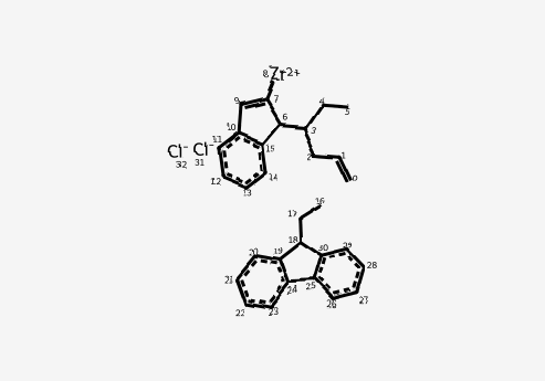 C=CCC(CC)C1[C]([Zr+2])=Cc2ccccc21.CCC1c2ccccc2-c2ccccc21.[Cl-].[Cl-]